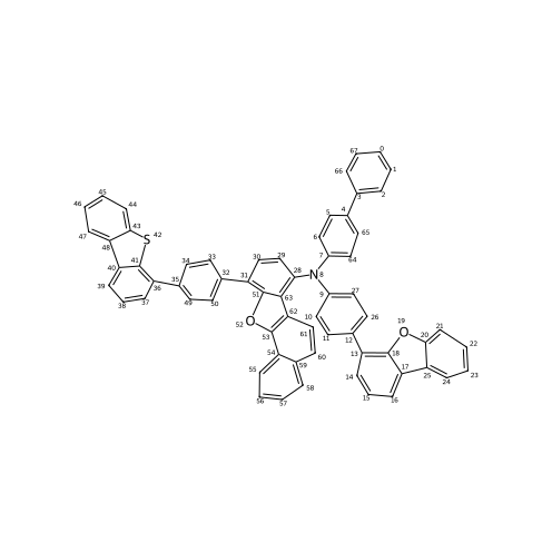 c1ccc(-c2ccc(N(c3ccc(-c4cccc5c4oc4ccccc45)cc3)c3ccc(-c4ccc(-c5cccc6c5sc5ccccc56)cc4)c4oc5c6ccccc6ccc5c34)cc2)cc1